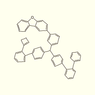 C1=C(c2ccccc2-c2ccc(C(c3ccc(-c4ccccc4-c4ccccc4)cc3)c3cccc(-c4ccc5oc6ccccc6c5c4)c3)cc2)CC1